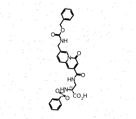 O=C(NCc1ccc2cc(C(=O)NC[C@H](NS(=O)(=O)c3ccccc3)C(=O)O)cc(=O)n2c1)OCc1ccccc1